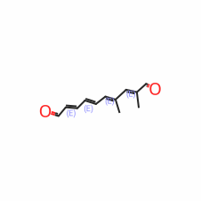 C\C(C=O)=C/C(C)=C/C=C/C=C/C=O